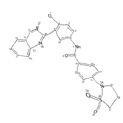 O=C(Nc1ccc(Cl)c(-c2ncc3ccccc3n2)c1)c1ccc(N2CCCS2(=O)=O)cc1